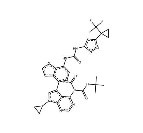 CC(C)(C)OC(=O)N(C(=O)O)c1ncnc2c1c(-c1ccc(NC(=O)Nc3cc(C4(C(F)(F)F)CC4)on3)c3occc13)cn2C1CC1